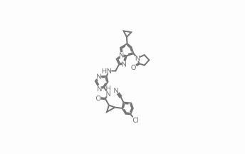 N#Cc1ccc(Cl)cc1C1CC1C(=O)Nc1cc(NCc2cn3cc(C4CC4)cc(N4CCCC4=O)c3n2)ncn1